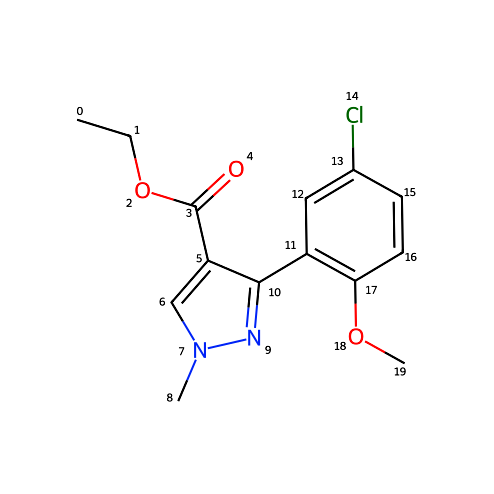 CCOC(=O)c1cn(C)nc1-c1cc(Cl)ccc1OC